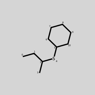 C[CH]C(C)SC1CCCCC1